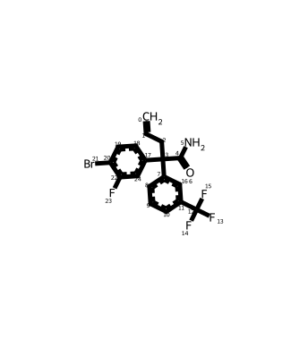 C=CCC(C(N)=O)(c1cccc(C(F)(F)F)c1)c1ccc(Br)c(F)c1